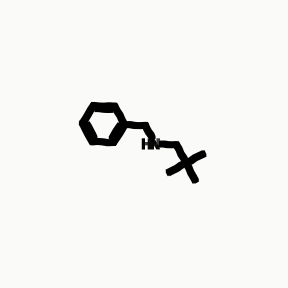 CC(C)(C)CNCc1ccccc1